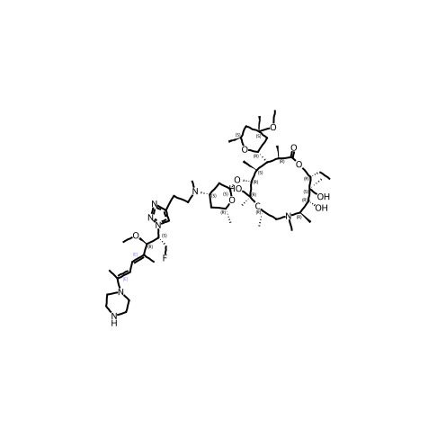 CC[C@H]1OC(=O)[C@H](C)C([C@H]2C[C@@](C)(OC)C[C@H](C)O2)[C@H](C)[C@@H](O[C@H]2C[C@@H](N(C)CCc3cn([C@H](CF)[C@H](OC)/C(C)=C/C=C(\C)N4CCNCC4)nn3)C[C@@H](C)O2)[C@](C)(O)C[C@@H](C)CN(C)[C@H](C)[C@@H](O)[C@]1(C)O